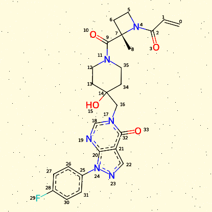 C=CC(=O)N1CC[C@@]1(C)C(=O)N1CCC(O)(Cn2cnc3c(cnn3-c3ccc(F)cc3)c2=O)CC1